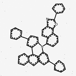 c1ccc(-c2cccc(N(c3ccc(-c4ccccc4)cc3-c3cccc4ccccc34)c3cccc4c3ccc3nc(-c5ccccc5)oc34)c2)cc1